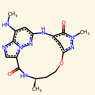 CNc1cc2nn3c(cnc13)C(=O)N[C@H](C)CCOc1cc(c(=O)n(C)n1)N2